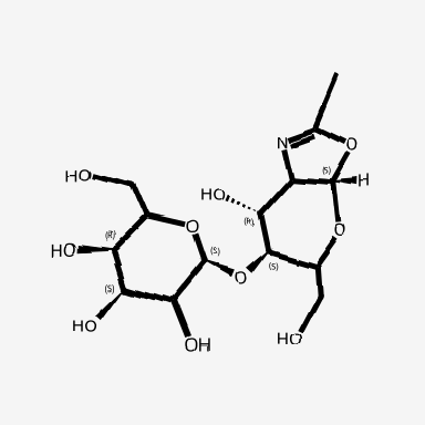 CC1=NC2[C@H](O1)OC(CO)[C@@H](O[C@@H]1OC(CO)[C@H](O)[C@H](O)C1O)[C@@H]2O